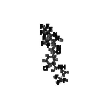 CC(N[C@H]1C[C@@H]1C(F)(F)F)c1cc(-c2cc(-c3c(C(F)(F)F)c(C(F)(F)C(F)(F)F)nn3C)no2)ccc1Cl